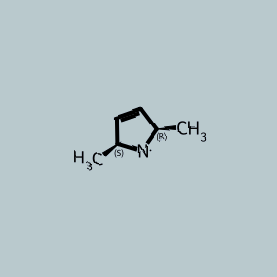 C[C@@H]1C=C[C@H](C)[N]1